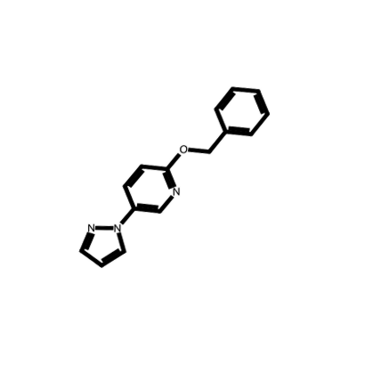 c1ccc(COc2ccc(-n3cccn3)cn2)cc1